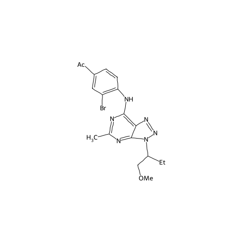 CCC(COC)n1nnc2c(Nc3ccc(C(C)=O)cc3Br)nc(C)nc21